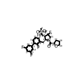 CS(=O)(=O)N[C@@H]1[C@H](Cc2cccc(-c3cc(F)cc(F)c3)c2F)N(C(=O)[C@H]2CCCO2)CC1(F)F